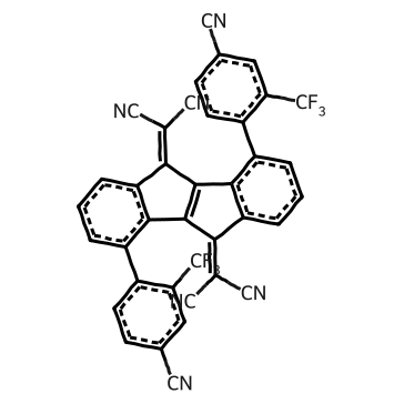 N#CC(C#N)=C1C2=C(C(=C(C#N)C#N)c3cccc(-c4ccc(C#N)cc4C(F)(F)F)c32)c2c1cccc2-c1ccc(C#N)cc1C(F)(F)F